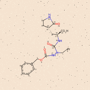 CC(C)CN(NC(=O)OCc1ccccc1)C(=O)N[C@@H](C[C@@H]1CCNC1=O)C(=O)O